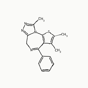 Cc1sc2c(c1C)C(c1ccccc1)=NCc1nnc(C)n1-2